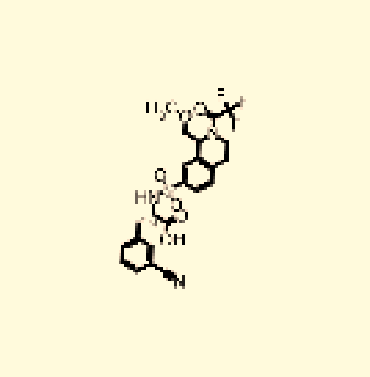 COCC1c2cc(S(=O)(=O)N[C@@H](Cc3cccc(C#N)c3)C(=O)O)ccc2CCN1C(=O)C(F)(F)F